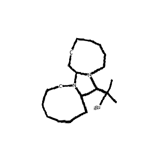 CCC(C)C(C)(C)C1C2CCCCCCCN2C2CCCCCCCN21